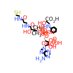 CC(C)(COP(=O)(O)OP(=O)(O)OC[C@H]1O[C@@H](n2cnc3c(N)ncnc32)[C@H](O)[C@@H]1OP(=O)(O)O)[C@@H](O)C(=O)NCCC(=O)NCCS.O=C(O)C(O)CNc1ccccc1